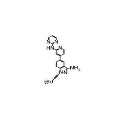 CC(C)(C)C#Cn1nc(N)c2cc(-c3ccnc(Nc4ncccn4)c3)ccc21